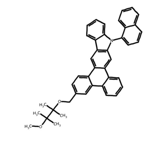 COC(C)(C)C(C)(C)OCc1ccc2c(c1)c1ccccc1c1cc3c(cc21)c1ccccc1n3-c1cccc2ccccc12